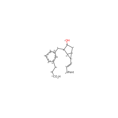 CCCCC/C=C/C1C2CC(O)C(Cc3cccc(CCC(=O)O)c3)C12